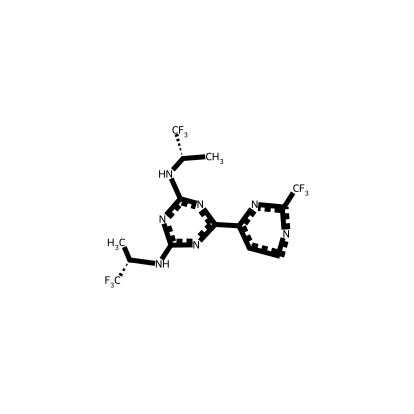 C[C@H](Nc1nc(N[C@@H](C)C(F)(F)F)nc(-c2ccnc(C(F)(F)F)n2)n1)C(F)(F)F